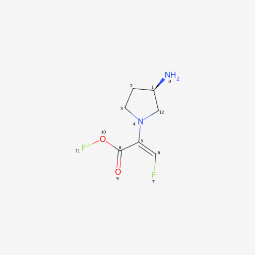 N[C@@H]1CCN(C(=CF)C(=O)OF)C1